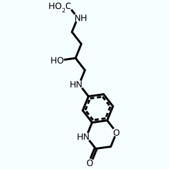 O=C(O)NCCC(O)CNc1ccc2c(c1)NC(=O)CO2